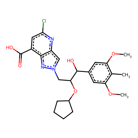 COc1cc(C(O)C(Cn2cc3nc(Cl)cc(C(=O)O)c3n2)OC2CCCC2)cc(OC)c1C